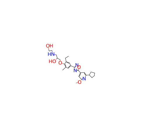 CCc1cc(-c2noc(-c3cc(OC)nc(C4CCCC4)c3)n2)cc(C)c1OCC(O)CNCCO